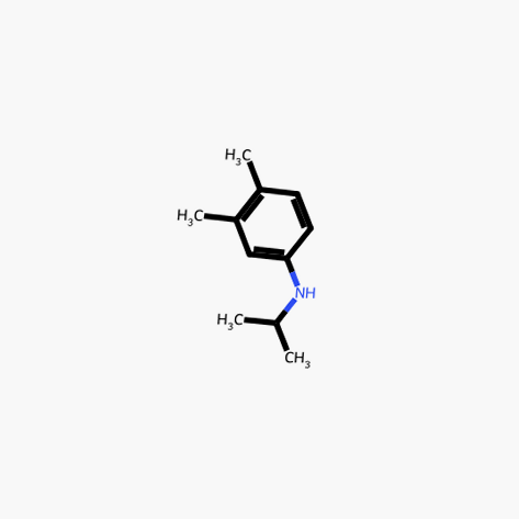 Cc1ccc(NC(C)C)cc1C